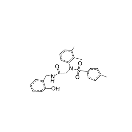 Cc1ccc(S(=O)(=O)N(CC(=O)NCc2ccccc2O)c2cccc(C)c2C)cc1